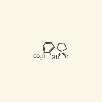 O=C(O)c1ccccc1S.O=S1(=O)CCCC1